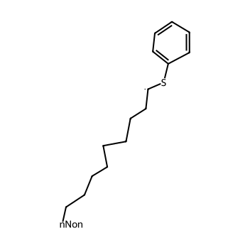 [CH2]CCCCCCCCCCCCCCCC[CH]Sc1ccccc1